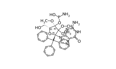 COC1(OC)[C@](OC)(OP(N)O)[C@@H](CO)O[C@]1(n1cnc2c(=O)[nH]c(N)nc21)C(c1ccccc1)(c1ccccc1)c1ccccc1